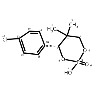 CC1(C)COP(=O)(O)O[C@@H]1c1ccc(Cl)cc1